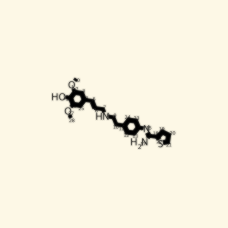 COc1cc(C=CCNCCc2ccc(N=C(N)c3cccs3)cc2)cc(OC)c1O